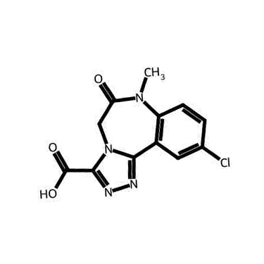 CN1C(=O)Cn2c(C(=O)O)nnc2-c2cc(Cl)ccc21